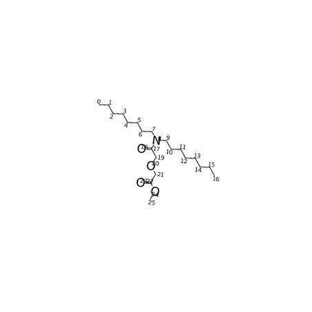 CCCCCCCCN(CCCCCCCC)C(=O)COCC(=O)OC